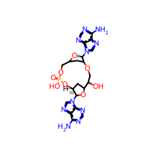 Nc1ncnc2c1ncn2C1OC2COP(=O)(O)O[C@H]3CC(OC3n3cnc4c(N)ncnc43)C(O)COC1C2F